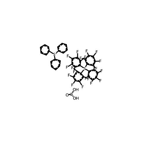 Fc1c(F)c(F)c(S(c2c(F)c(F)c(F)c(F)c2F)(c2c(F)c(F)c(F)c(F)c2F)c2c(F)c(F)c(F)c(F)c2F)c(F)c1F.[O-]B(O)O.c1ccc([S+](c2ccccc2)c2ccccc2)cc1